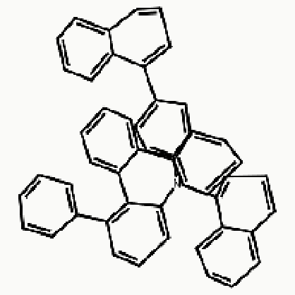 c1ccc(-c2ccccc2-c2c(-c3ccccc3)cccc2N(c2ccc(-c3cccc4ccccc34)cc2)c2cccc3ccccc23)cc1